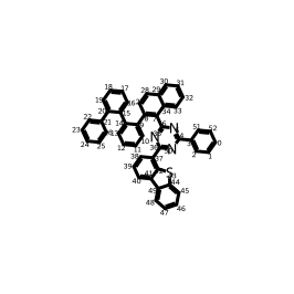 c1ccc(-c2nc(-c3c(-c4ccccc4-c4ccccc4-c4ccccc4)ccc4ccccc34)nc(-c3cccc4c3sc3ccccc34)n2)cc1